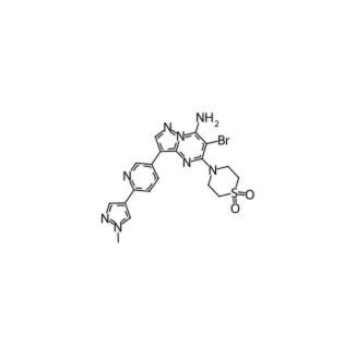 Cn1cc(-c2ccc(-c3cnn4c(N)c(Br)c(N5CCS(=O)(=O)CC5)nc34)cn2)cn1